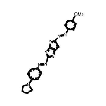 COc1ccc(N=Nc2cc3sc(N=Nc4ccc(N5CCCC5)cc4)nc3s2)cc1